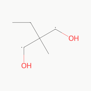 CCC(C)([CH]O)[CH]O